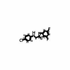 Fc1cc(F)c2sc(CNc3ccc(Cl)cc3)nc2c1